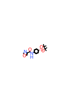 CC1(C)OB(c2ccc(NC(=O)c3cocn3)cc2)OC1(C)C